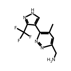 Cc1cc(CN)nnc1-c1c[nH]nc1C(F)(F)F